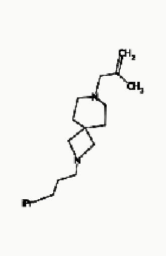 C=C(C)CN1CCC2(CC1)CN(CCCC(C)C)C2